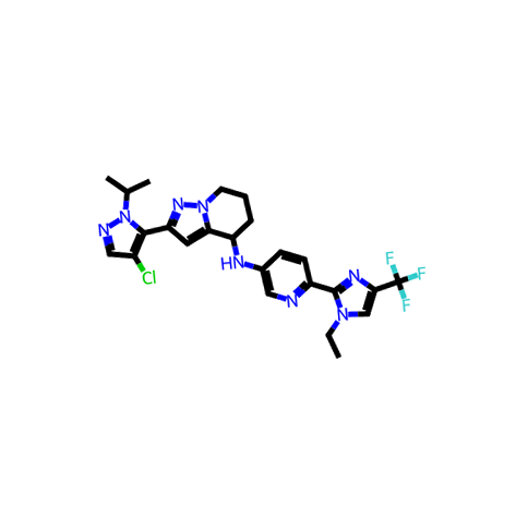 CCn1cc(C(F)(F)F)nc1-c1ccc(NC2CCCn3nc(-c4c(Cl)cnn4C(C)C)cc32)cn1